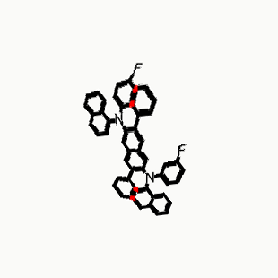 Fc1ccc(N(c2cc3cc(-c4ccccc4)c(N(c4cccc(F)c4)c4cccc5ccccc45)cc3cc2-c2ccccc2)c2cccc3ccccc23)cc1